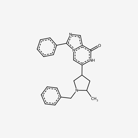 CC1CC(c2cn3c(-c4ccccc4)ncc3c(=O)[nH]2)CN1Cc1ccccc1